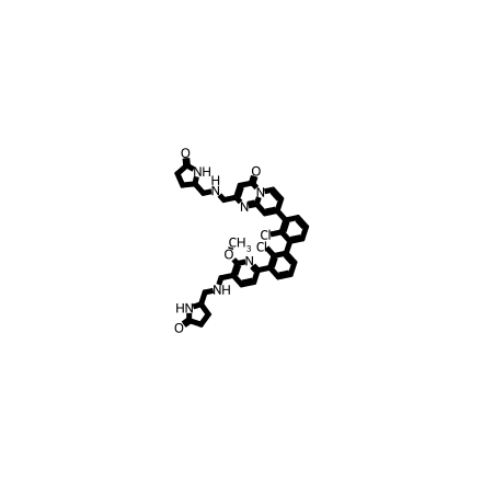 COc1nc(-c2cccc(-c3cccc(-c4ccn5c(=O)cc(CNCC6CCC(=O)N6)nc5c4)c3Cl)c2Cl)ccc1CNCC1CCC(=O)N1